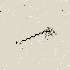 [CH2]C(C)(CCCCCCCCCCCC)C(C)(C)C